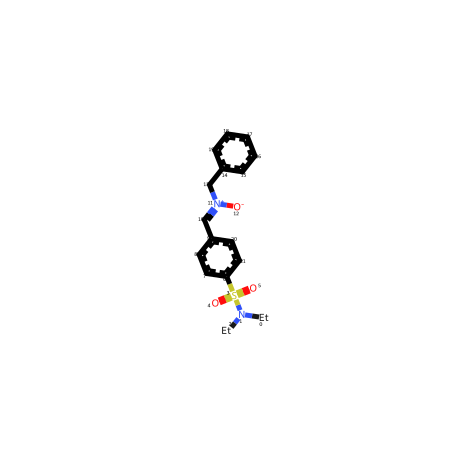 CCN(CC)S(=O)(=O)c1ccc(C=[N+]([O-])Cc2ccccc2)cc1